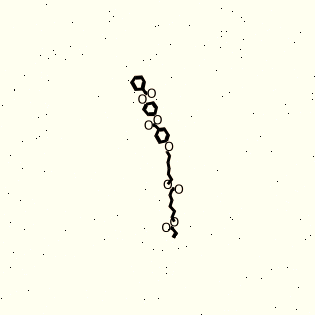 C=CC(=O)OCCCCCC(=O)OCCCCCCOc1ccc(C(=O)Oc2ccc(OC(=O)c3ccccc3)cc2)cc1